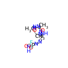 Cc1cc2cc(n1)-c1cnn(C)c1OCCC[C@@H](C)CN1/C(=N/C2=O)Nc2ccc(C3CCN(CC4CN(c5cc(F)c([C@H]6CCC(=O)NC6=O)c(F)c5)C4)CC3)cc21